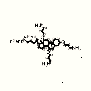 C=C(CCCN(CCCCC)CCCCC)C1CC[C@H]2C3C(OCCCN)CC4CC(OCCCN)CCC4(C)[C@H]3C[C@H](OCCCN)C12C